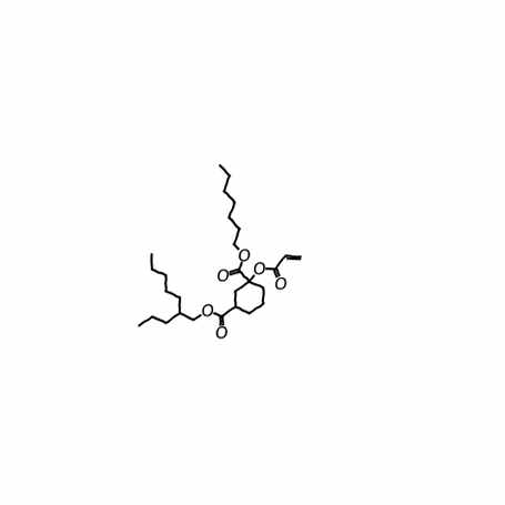 C=CC(=O)OC1(C(=O)OCCCCCCC)CCCC(C(=O)OCC(CCC)CCCCC)C1